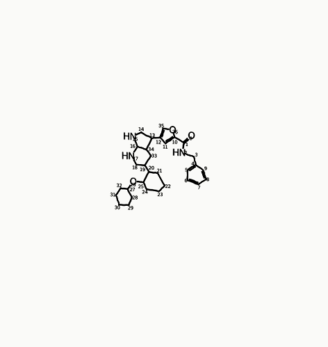 O=C(NCc1ccccc1)c1cc(C2CNC3NCC(C4CCCCC4OC4CCCCC4)CC32)co1